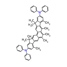 Cc1cc(N(c2ccccc2)c2ccccc2)cc2c1-c1cc3c(C)c(C)c4c(C)c5c(cc4c3cc1C2(C)C)C(C)(C)c1cc(N(c2ccccc2)c2ccccc2)cc(C)c1-5